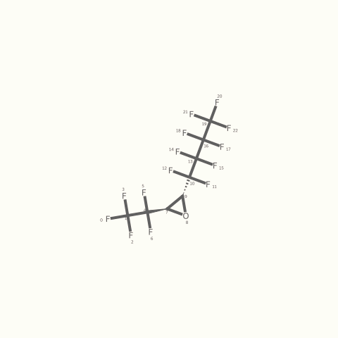 FC(F)(F)C(F)(F)[C@@H]1O[C@H]1C(F)(F)C(F)(F)C(F)(F)C(F)(F)F